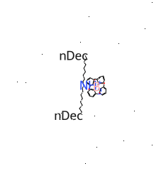 CCCCCCCCCCCCCCCCCC[NH2+]CCCCCCCCCCCCCCCCCC.Cc1ccccc1[B-](c1ccccc1C)(c1ccccc1C)c1ccccc1C